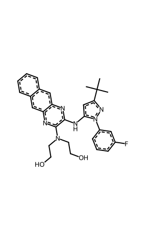 CC(C)(C)c1cc(Nc2nc3cc4ccccc4cc3nc2N(CCO)CCO)n(-c2cccc(F)c2)n1